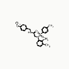 COc1ccc(CNC(=O)CN(c2cccc(C)c2C)S(=O)(=O)c2ccc(C)cc2)cc1